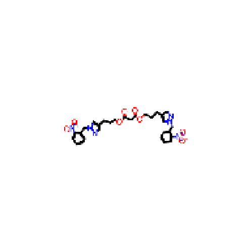 O=C(CC(=O)OCCCc1cnn(Cc2ccccc2[N+](=O)[O-])c1)OCCCc1cnn(Cc2ccccc2[N+](=O)[O-])c1